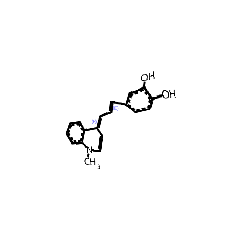 CN1C=C/C(=C\C=C\c2ccc(O)c(O)c2)c2ccccc21